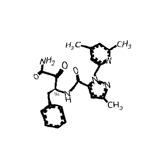 Cc1cc(C)nc(-n2nc(C)cc2C(=O)N[C@@H](Cc2ccccc2)C(=O)C(N)=O)c1